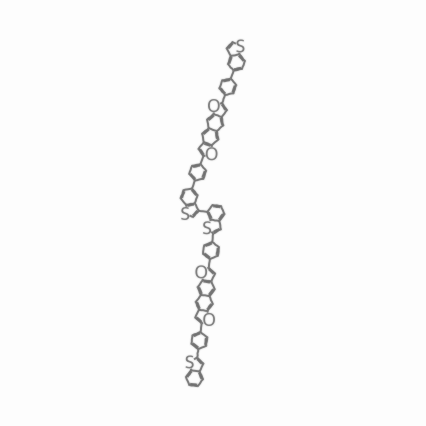 c1ccc2sc(-c3ccc(-c4cc5cc6cc7oc(-c8ccc(-c9cc%10cccc(-c%11csc%12ccc(-c%13ccc(-c%14cc%15cc%16cc%17oc(-c%18ccc(-c%19ccc%20sccc%20c%19)cc%18)cc%17cc%16cc%15o%14)cc%13)cc%11%12)c%10s9)cc8)cc7cc6cc5o4)cc3)cc2c1